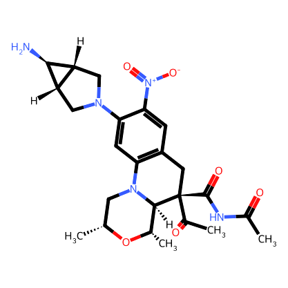 CC(=O)NC(=O)[C@]1(C(C)=O)Cc2cc([N+](=O)[O-])c(N3C[C@@H]4[C@@H](N)[C@@H]4C3)cc2N2C[C@@H](C)O[C@@H](C)[C@@H]21